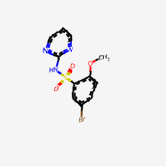 COc1ccc(Br)cc1S(=O)(=O)Nc1ncccn1